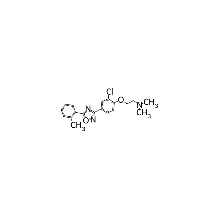 Cc1ccccc1-c1nc(-c2ccc(OCCN(C)C)c(Cl)c2)no1